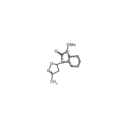 COn1c(=O)n(C2CC(C)=NO2)c2ccccc21